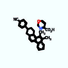 Cc1c(C)c2c3c(ccc2c2ccccc12)CC(c1ccc(C#N)cc1)CC3.O=C(O)C1=NCOC=C1